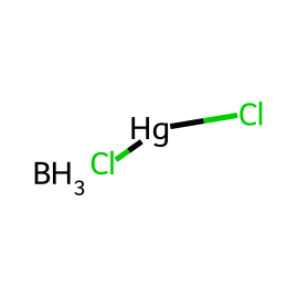 B.[Cl][Hg][Cl]